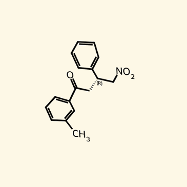 Cc1cccc(C(=O)C[C@@H](C[N+](=O)[O-])c2ccccc2)c1